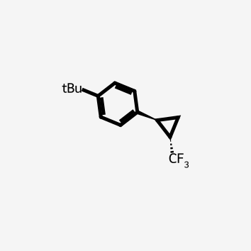 CC(C)(C)c1ccc([C@H]2C[C@@H]2C(F)(F)F)cc1